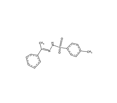 C/C(=N\NS(=O)(=O)c1ccc(C)cc1)c1ccccc1